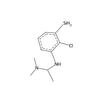 CC(Nc1cccc([SiH3])c1Cl)N(C)C